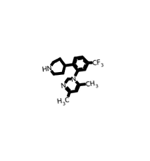 CC1=CC(C)=NCN1c1cc(C(F)(F)F)ccc1C1CCNCC1